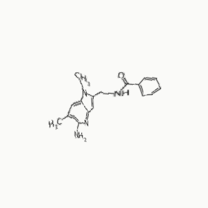 Cc1cc2c(cc(CNC(=O)c3ccccc3)n2C)nc1N